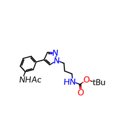 CC(=O)Nc1cccc(-c2cnn(CCCNC(=O)OC(C)(C)C)c2)c1